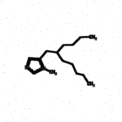 CCCCCC(CCCC)Cc1cncn1C